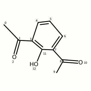 CC(=O)c1cccc(C(C)=O)c1O